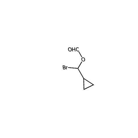 O=COC(Br)C1CC1